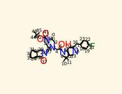 C[C@@H]1CN(CC(O)N2CC(C)(C)c3cnc(Cc4ccc(F)cc4)cc32)[C@@H](CN2Cc3ccccc3C2=O)CN1C(=O)OC(C)(C)C